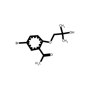 CC(=O)c1cc(Br)ccc1OCC(C)(C)O